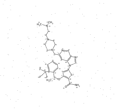 C[C@@H](Oc1cc(-n2cnc3cnc(CN4CCN(CCN(C)C)CC4)cc32)sc1C(N)=O)c1ccccc1C(F)(F)F